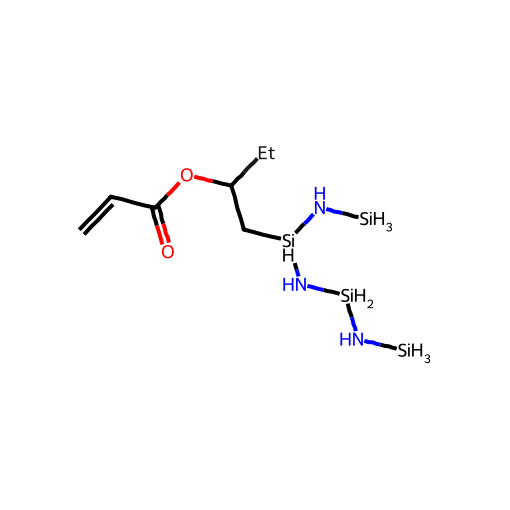 C=CC(=O)OC(CC)C[SiH](N[SiH3])N[SiH2]N[SiH3]